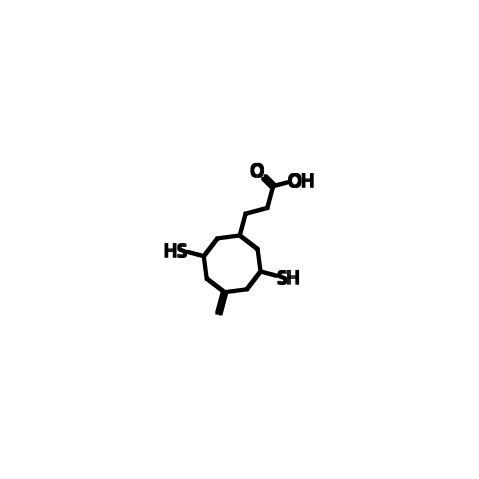 C=C1CC(S)CC(CCC(=O)O)CC(S)C1